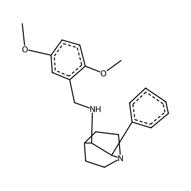 COc1ccc(OC)c(CNC2C3CCN(CC3)C2c2ccccc2)c1